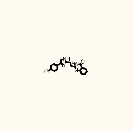 O=c1[nH]c(CCc2nc(C3=CC=C(Cl)CC3)c[nH]2)nc2ccccc12